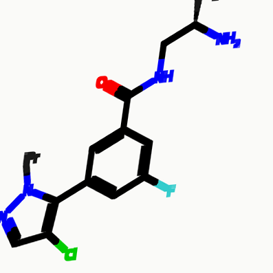 CC(C)n1ncc(Cl)c1-c1cc(F)cc(C(=O)NC[C@@H](N)C(=O)O)c1